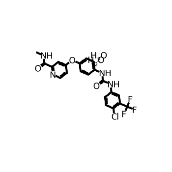 CNC(=O)c1cc(Oc2ccc(NC(=O)Nc3ccc(Cl)c(C(F)(F)F)c3)cc2)ccn1.O.O